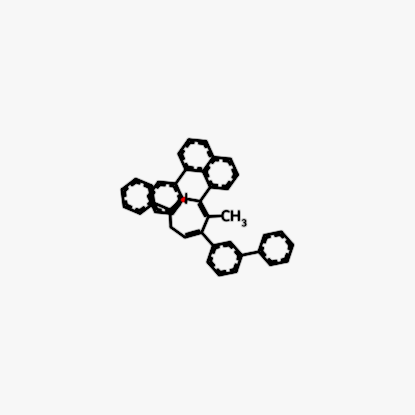 CC1=C(c2cccc3cccc(-c4ccccc4)c23)N=C(c2ccccc2)CC=C1c1cccc(-c2ccccc2)c1